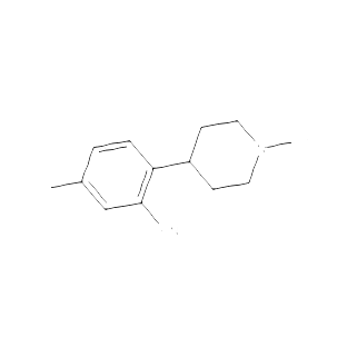 [CH2]CCN1CCC(c2ccc(F)cc2C#N)CC1